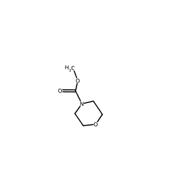 COC(=O)N1CCOCC1